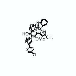 CO[C@@H]1[C@@H](n2cc(-c3nc(Cl)cs3)nn2)[C@@H](O)[C@@H](CO)O[C@H]1c1cc(C)nn1[SH]1C(C)=Nc2ccccc21